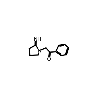 N=C1CCCN1CC(=O)c1ccccc1